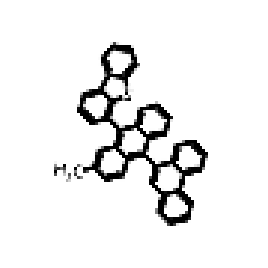 Cc1ccc2c(-c3cc4ccccc4c4ccccc34)c3ccccc3c(-c3cccc4c3sc3ccccc34)c2c1